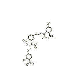 COc1ccc(N)c(N(CCOc2ccc([N+](=O)[O-])c(N(CCOc3ccc([N+](=O)[O-])c(F)c3)[S+](C)[O-])c2)[S+](C)[O-])c1